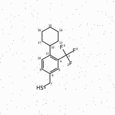 FC(F)(F)c1cc(CS)ccc1C1CCCCC1